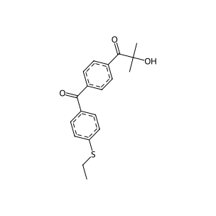 CCSc1ccc(C(=O)c2ccc(C(=O)C(C)(C)O)cc2)cc1